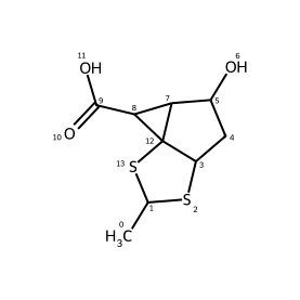 CC1SC2CC(O)C3C(C(=O)O)C23S1